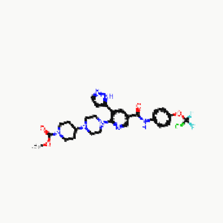 CC(C)(C)OC(=O)N1CCC(N2CCN(c3ncc(C(=O)Nc4ccc(OC(F)(F)Cl)cc4)cc3-c3ccn[nH]3)CC2)CC1